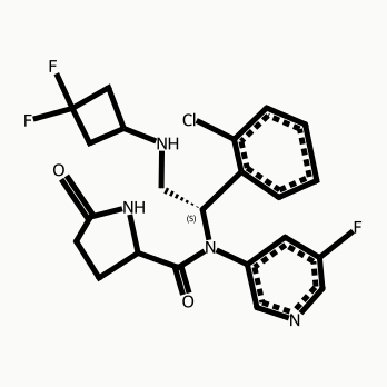 O=C1CCC(C(=O)N(c2cncc(F)c2)[C@H](CNC2CC(F)(F)C2)c2ccccc2Cl)N1